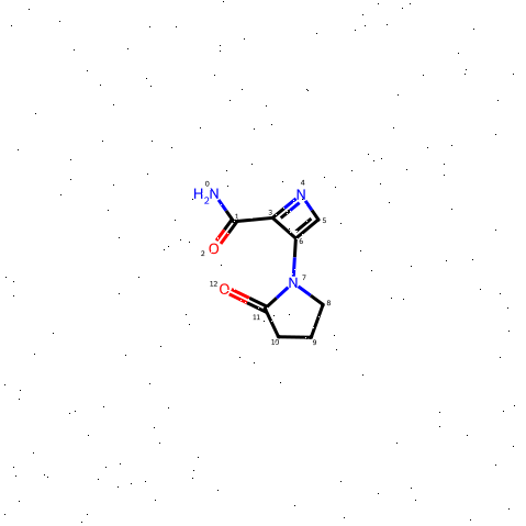 NC(=O)C1=NC=C1N1CCCC1=O